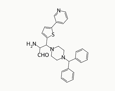 NC(C=O)C(c1ccc(-c2cccnc2)s1)N1CCN(C(c2ccccc2)c2ccccc2)CC1